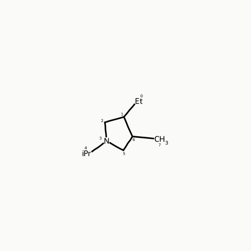 CCC1CN(C(C)C)CC1C